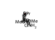 COc1cc(N)c(Cl)cc1C(=O)NC1CCN(CC2CCN(C(=S)C(C)C)CC2)CC1OC